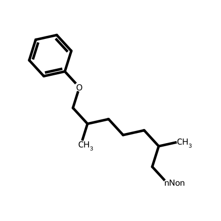 CCCCCCCCCCC(C)CCCC(C)COc1ccccc1